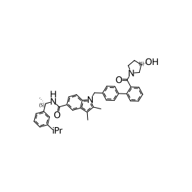 Cc1c(C)n(Cc2ccc(-c3ccccc3C(=O)N3CC[C@H](O)C3)cc2)c2ccc(C(=O)N[C@@H](C)c3cccc(C(C)C)c3)cc12